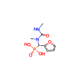 CNC(=O)N(C)C(c1ccco1)P(=O)(O)O